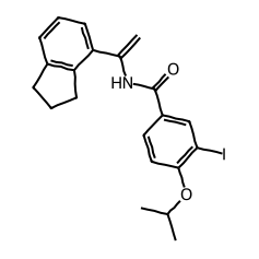 C=C(NC(=O)c1ccc(OC(C)C)c(I)c1)c1cccc2c1CCC2